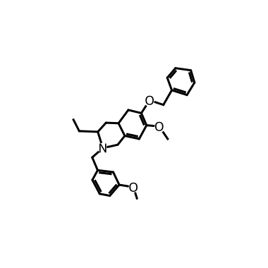 CCC1CC2CC(OCc3ccccc3)=C(OC)C=C2CN1Cc1cccc(OC)c1